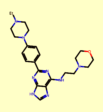 CCN1CCN(c2ccc(-c3nc(NCCN4CCOCC4)c4nc[nH]c4n3)cc2)CC1